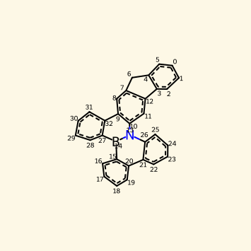 c1ccc2c(c1)Cc1cc3c(cc1-2)N1B(c2ccccc2-c2ccccc21)c1ccccc1-3